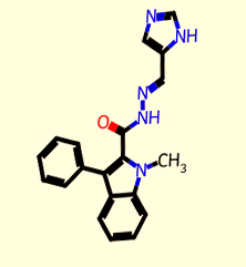 Cn1c(C(=O)NN=Cc2cnc[nH]2)c(-c2ccccc2)c2ccccc21